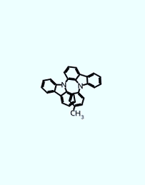 Cc1ccc(-n2c3ccccc3c3cccc(-n4c5ccccc5c5ccccc54)c32)cc1